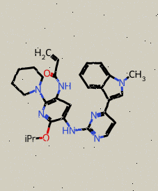 C=CC(=O)Nc1cc(Nc2nccc(-c3cn(C)c4ccccc34)n2)c(OC(C)C)nc1N1CCCCC1